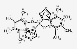 Cc1c(C)c(C)c([O][Zr]([O]c2c(C)c(C)c(C)c(C)c2C)([C]2=CC=CC2)[C]2=CC=CC2)c(C)c1C